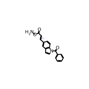 NOC(=O)/C=C/c1ccc2c(ccn2C(=O)c2ccccc2)c1